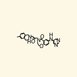 Cc1ccc2c(c1)CCN(C[C@@H](O)CN1CCOc3ccc(Nc4cncnc4)cc3C1=O)C2